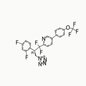 Fc1ccc([C@H](Cn2cnnn2)C(F)(F)c2ccc(-c3ccc(OC(F)(F)F)cc3)cn2)c(F)c1